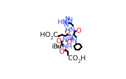 CC[C@H](C)[C@H](NC(=O)CCC(=O)O)C(=O)NC(CCC(=O)O)C(=O)N1C(=O)N(C2CCCCC2)CC1C(=O)NCc1nn[nH]n1